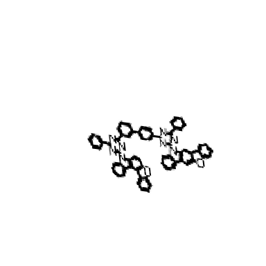 c1ccc(-c2nc(-c3ccc(-c4cccc(-c5nc(-c6ccccc6)nc(-n6c7ccccc7c7c8c(ccc76)oc6ccccc68)n5)c4)cc3)nc(-n3c4ccccc4c4cc5oc6ccccc6c5cc43)n2)cc1